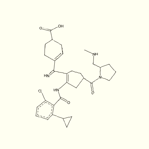 CNCC1CCCN1C(=O)C1CCC(C(=N)C2=CCC(C(=O)O)CC2)=C(NC(=O)c2c(Cl)cccc2C2CC2)C1